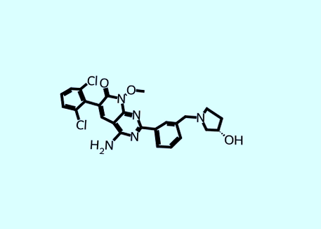 COn1c(=O)c(-c2c(Cl)cccc2Cl)cc2c(N)nc(-c3cccc(CN4CC[C@H](O)C4)c3)nc21